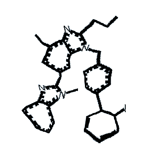 CCCc1nc2c(C)cc(-c3nc4ccccc4n3C)cc2n1Cc1ccc(C2C=CC=CC2I)cc1